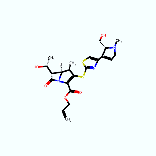 C=CCOC(=O)C1=C(Sc2nc(C3=CCN(C)[C@H]3CO)cs2)[C@H](C)[C@@H]2[C@@H]([C@@H](C)O)C(=O)N12